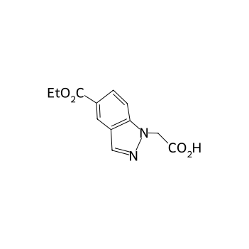 CCOC(=O)c1ccc2c(cnn2CC(=O)O)c1